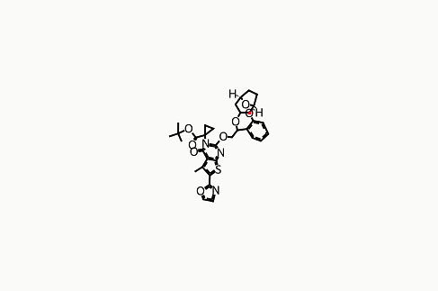 COc1ccccc1C(COc1nc2sc(-c3ncco3)c(C)c2c(=O)n1C1(C(=O)OC(C)(C)C)CC1)OC1C[C@H]2CC[C@@H](C1)O2